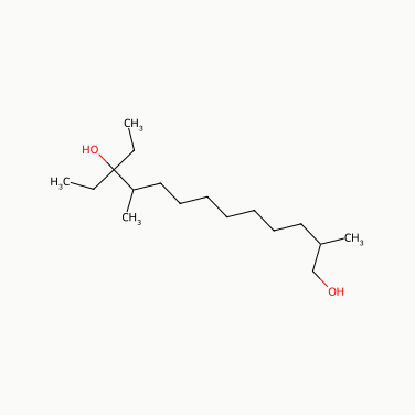 CCC(O)(CC)C(C)CCCCCCCC(C)CO